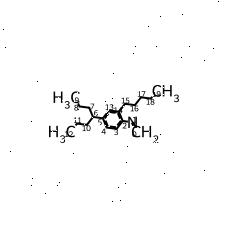 C=Nc1ccc(C(CCC)CCC)cc1CCCCC